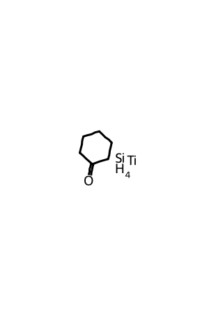 O=C1CCCCC1.[SiH4].[Ti]